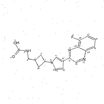 O=C(O)NCC1CC(n2cc(-c3cnc4cccc(F)c4n3)cn2)C1